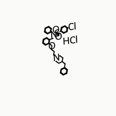 Cl.O=S(=O)(c1ccc(Cl)cc1)N(Cc1ccccc1OCCCN1CCC(Cc2ccccc2)CC1)c1ccccc1